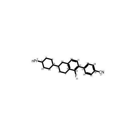 CCCC1CCC(C2CCc3c(ccc(-c4ccc(C#N)cc4)c3F)C2)CC1